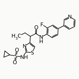 CCC(C(=O)Nc1ccc(-c2cccnc2)cc1F)c1csc(NS(=O)(=O)C2CC2)n1